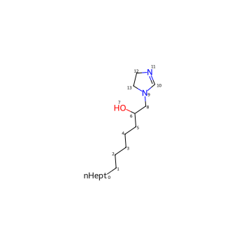 CCCCCCCCCCCCC(O)CN1C=NCC1